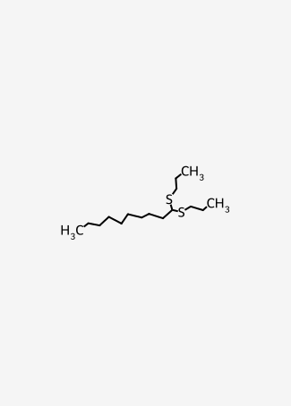 CCCCCCCCCC(SCCC)SCCC